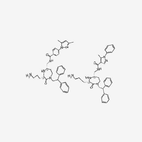 Cc1c(C(=O)NC[C@@H]2CCN(CC(c3ccccc3)c3ccccc3)C(=O)[C@H](CCCN)N2)cnn1-c1ccccc1.Cc1cc(C)n(-c2ccc(C(=O)NC[C@@H]3CCN(CC(c4ccccc4)c4ccccc4)C(=O)[C@H](CCCN)N3)cc2)n1